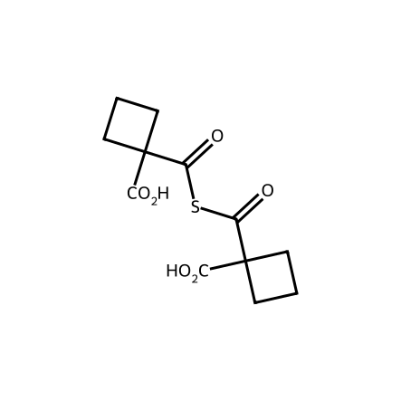 O=C(O)C1(C(=O)SC(=O)C2(C(=O)O)CCC2)CCC1